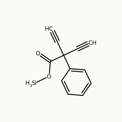 C#CC(C#C)(C(=O)O[SiH3])c1ccccc1